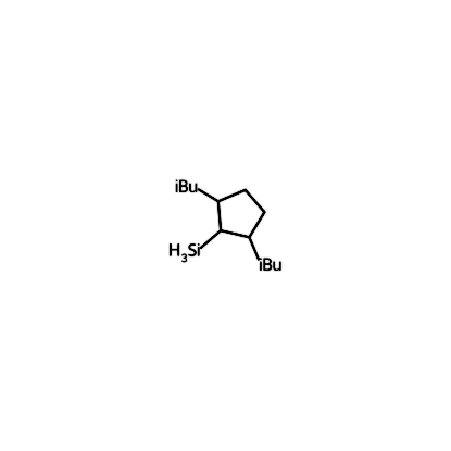 CCC(C)C1CCC(C(C)CC)C1[SiH3]